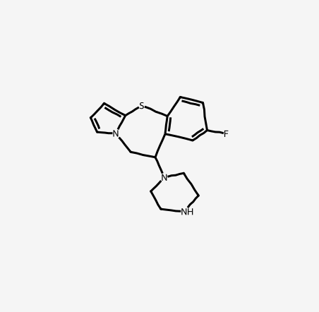 Fc1ccc2c(c1)C(N1CCNCC1)Cn1cccc1S2